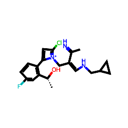 CC(=N)/C(=C\NCC1CC1)C[N+]1=C(Cl)C=C1c1ccc(F)cc1[C@@H](C)O